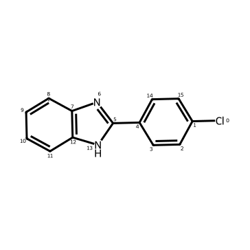 Clc1ccc(-c2nc3[c]cccc3[nH]2)cc1